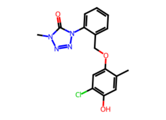 Cc1cc(O)c(Cl)cc1OCc1ccccc1-n1nnn(C)c1=O